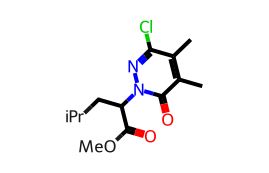 COC(=O)C(CC(C)C)n1nc(Cl)c(C)c(C)c1=O